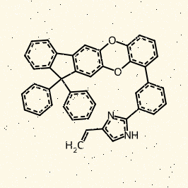 C=Cc1c[nH]c(-c2cccc(-c3cccc4c3Oc3cc5c(cc3O4)-c3ccccc3C5(c3ccccc3)c3ccccc3)c2)n1